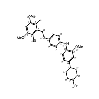 CCc1c(OC)cc(OC)c(C)c1COc1cnc(Nc2ccc(C3CCN(C(C)C)CC3)cc2OC)nc1